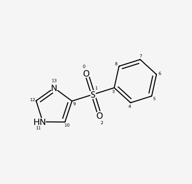 O=S(=O)(c1ccccc1)c1c[nH]cn1